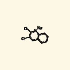 Clc1cc2ccccc2nc1Cl.[Na]